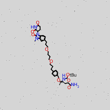 C[C@@H](OCc1ccc(CCCOCCCCOCCCc2ccc3c(c2)n(C)c(=O)n3C2CCC(=O)NC2=O)cc1)[C@H](CCC(N)=O)NC(=O)OC(C)(C)C